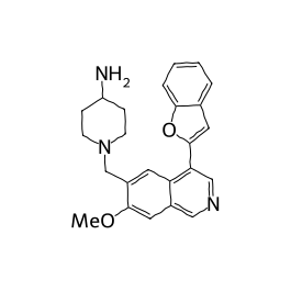 COc1cc2cncc(-c3cc4ccccc4o3)c2cc1CN1CCC(N)CC1